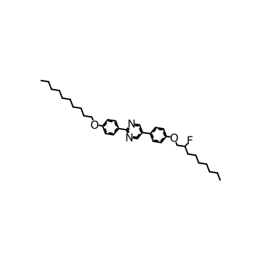 CCCCCCCCCCOc1ccc(-c2ncc(-c3ccc(OCC(F)CCCCCCC)cc3)cn2)cc1